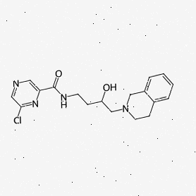 O=C(NCCC(O)CN1CCc2ccccc2C1)c1cncc(Cl)n1